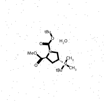 COC(=O)[C@@H]1C[C@@H]([Si](C)(C)C(C)(C)C)CN1C(=O)OC(C)(C)C.O